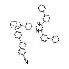 N#Cc1ccc2cc(-c3ccc(C45CC6CC(C4)CC(c4ccc(-c7nc(-c8cccc(-c9ccccc9)c8)cc(-c8cccc(-c9ccccc9)c8)n7)cc4)(C6)C5)cc3)ccc2c1